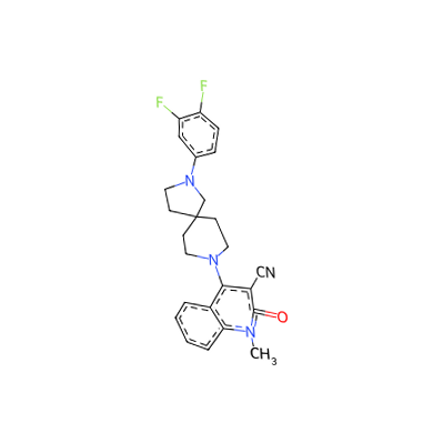 Cn1c(=O)c(C#N)c(N2CCC3(CCN(c4ccc(F)c(F)c4)C3)CC2)c2ccccc21